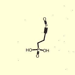 O=P#CCCP(=O)(O)O